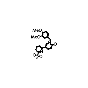 COc1ccc(Cn2cc(-c3ccnc(S(C)(=O)=O)n3)ccc2=O)cc1OC